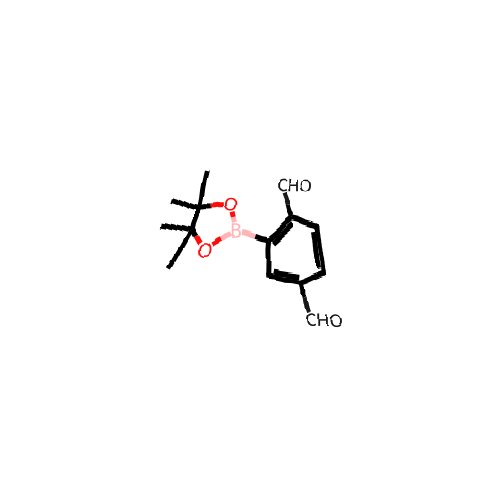 CC1(C)OB(c2cc(C=O)ccc2C=O)OC1(C)C